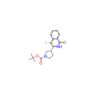 CC(C)(C)OC(=O)N1CCC(c2[nH]c(=O)c3ccccc3c2F)C1